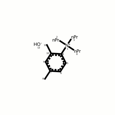 CCC[N+](CCC)(CCC)c1ccc(C)cc1C.[OH-]